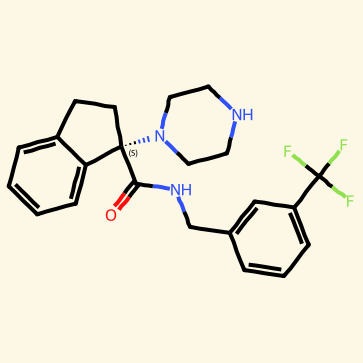 O=C(NCc1cccc(C(F)(F)F)c1)[C@]1(N2CCNCC2)CCc2ccccc21